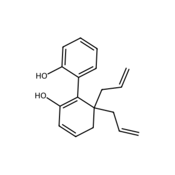 C=CCC1(CC=C)CC=CC(O)=C1c1ccccc1O